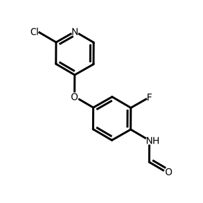 O=CNc1ccc(Oc2ccnc(Cl)c2)cc1F